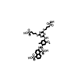 COc1cc(N=Nc2ccc3c(S(=O)(=O)O)cccc3c2S(=O)(=O)O)c(C)cc1Nc1nc(SCCCS(=O)(=O)O)nc(SCCCS(=O)(=O)O)n1